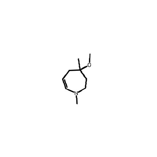 COC1(C)CC=CN(C)CC1